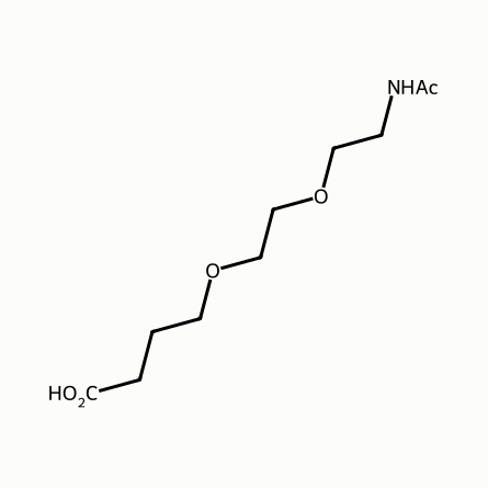 CC(=O)NCCOCCOCCCC(=O)O